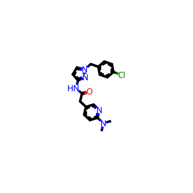 CN(C)c1ccc(CC(=O)Nc2ccn(Cc3ccc(Cl)cc3)n2)cn1